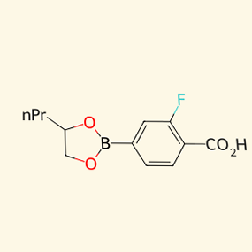 CCCC1COB(c2ccc(C(=O)O)c(F)c2)O1